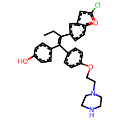 CC/C(=C(\c1ccc(O)cc1)c1ccc(OCCN2CCNCC2)cc1)c1ccc2oc(Cl)cc2c1